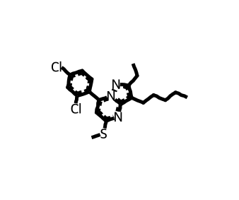 CCCCCc1c(CC)nn2c(-c3ccc(Cl)cc3Cl)cc(SC)nc12